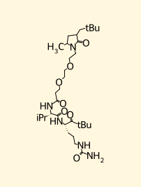 CC(C)[C@H](NC(=O)CCOCCOCCN1C(=O)C(CC(C)(C)C)CC1C)C(=O)N[C@@H](CCCNC(N)=O)C(=O)C(C)(C)C